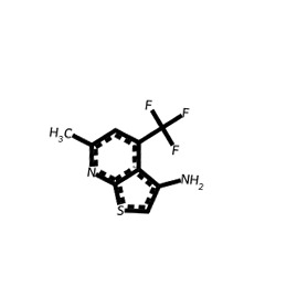 Cc1cc(C(F)(F)F)c2c(N)csc2n1